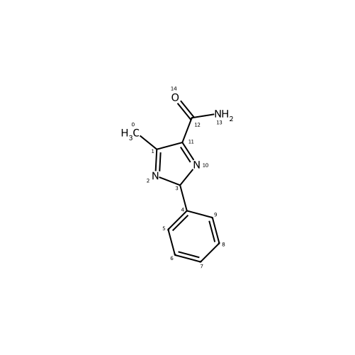 CC1=NC(c2ccccc2)N=C1C(N)=O